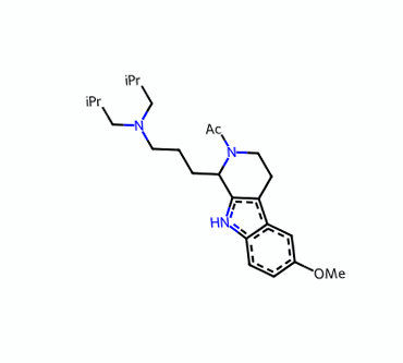 COc1ccc2[nH]c3c(c2c1)CCN(C(C)=O)C3CCCN(CC(C)C)CC(C)C